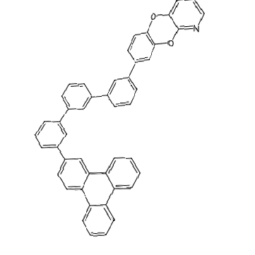 c1cc(-c2cccc(-c3ccc4c(c3)Oc3ncccc3O4)c2)cc(-c2cccc(-c3ccc4c5ccccc5c5ccccc5c4c3)c2)c1